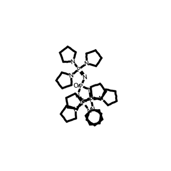 O=P(N=P(N1CCCC1)(N1CCCC1)N1CCCC1)(N=P(N1CCCC1)(N1CCCC1)N1CCCC1)N=P(N1CCCC1)(N1CCCC1)N1CCCC1